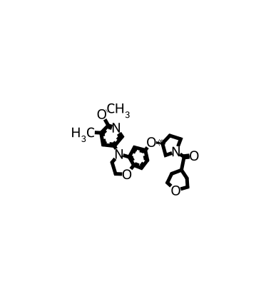 COc1ncc(N2CCOc3ccc(O[C@H]4CCN(C(=O)C5CCOCC5)C4)cc32)cc1C